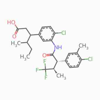 CCC(C)C(CC(=O)O)c1ccc(Cl)c(NC(=O)[C@H](c2ccc(Cl)c(C)c2)[C@@H](C)C(F)(F)F)c1